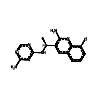 C[C@H](Nc1ncnc(N)n1)c1cc2cccc(Cl)c2nc1N